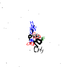 CCC1OC(=O)N(Cc2ccc(NC(=O)c3c[nH]cn3)cc2)N=C1c1ccc(F)c(OC)c1OC